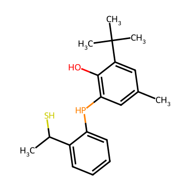 Cc1cc(Pc2ccccc2C(C)S)c(O)c(C(C)(C)C)c1